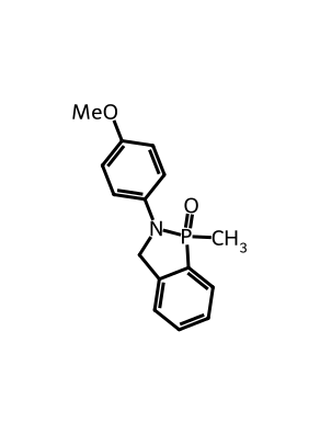 COc1ccc(N2Cc3ccccc3P2(C)=O)cc1